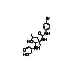 CC(C)CC(C)(NC(=O)Nc1ccc(Br)cc1)C(O)NC(C=O)CO